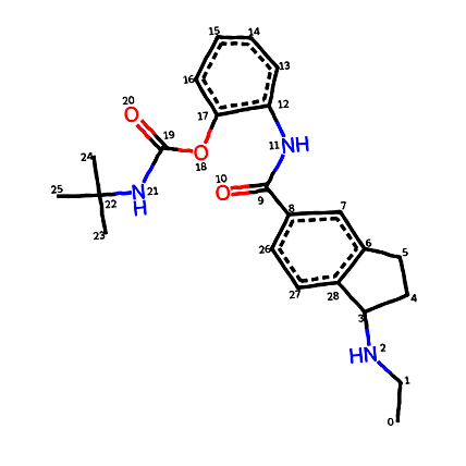 CCNC1CCc2cc(C(=O)Nc3ccccc3OC(=O)NC(C)(C)C)ccc21